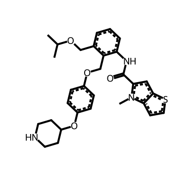 CC(C)OCc1cccc(NC(=O)c2cc3sccc3n2C)c1COc1ccc(OC2CCNCC2)cc1